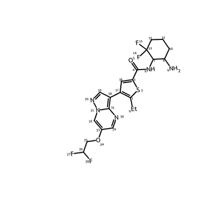 CCc1sc(C(=O)NC2C(N)CCCC2(F)F)cc1-c1cnn2cc(OCC(F)F)cnc12